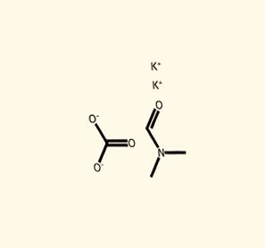 CN(C)C=O.O=C([O-])[O-].[K+].[K+]